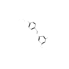 CC(=O)Nc1ccc(COc2cc(N)cc(Cl)c2)cc1